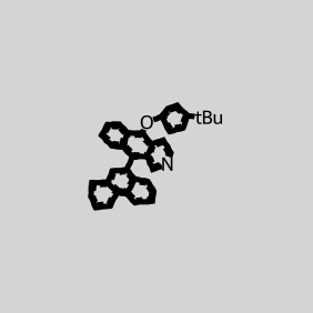 CC(C)(C)c1ccc(Oc2c3ccccc3c(-c3cc4ccccc4c4ccccc34)c3cnccc23)cc1